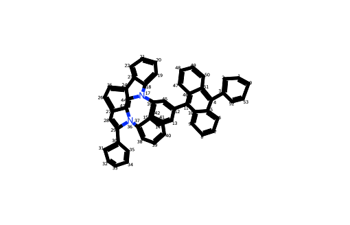 c1ccc(-c2c3ccccc3c(-c3cccc(-n4c5ccccc5c5ccc6cc(-c7ccccc7)n(-c7ccccc7)c6c54)c3)c3ccccc23)cc1